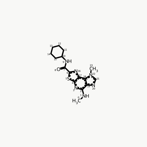 CNc1nc2sc(C(=O)NC3CCCCC3)nc2c2c1ncn2C